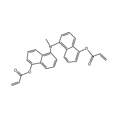 C=CC(=O)Oc1cccc2c(N(C)c3cccc4c(OC(=O)C=C)cccc34)cccc12